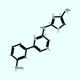 CC(=O)Nc1cccc(-c2cncc(Nc3nc(C(C)(C)C)cs3)n2)c1